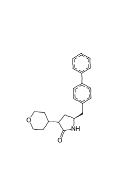 O=C1N[C@H](Cc2ccc(-c3ccccc3)cc2)CC1C1CCOCC1